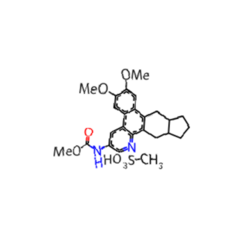 COC(=O)Nc1cnc2c3c(c4cc(OC)c(OC)cc4c2c1)CC1CCCC1C3.CS(=O)(=O)O